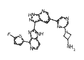 NC1CN(c2cncc(-c3cnc4[nH]nc(-c5nc6c(-c7ccc(F)s7)nccc6[nH]5)c4c3)n2)C1